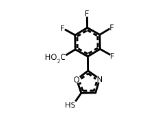 O=C(O)c1c(F)c(F)c(F)c(F)c1-c1ncc(S)o1